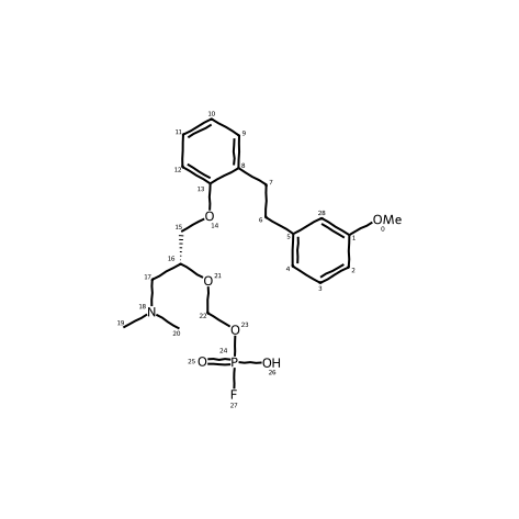 COc1cccc(CCc2ccccc2OC[C@@H](CN(C)C)OCOP(=O)(O)F)c1